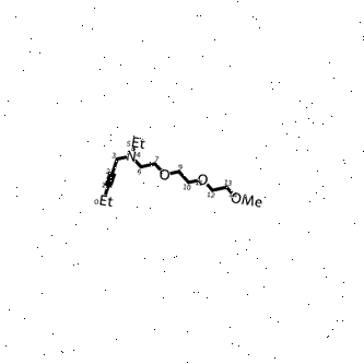 CCC#CCN(CC)CCOCCOCCOC